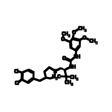 COc1cc(NC(=O)N[C@@H](CN2CCC(Cc3ccc(Cl)c(Cl)c3)CC2)C(C)(C)C)cc(OC)c1OC